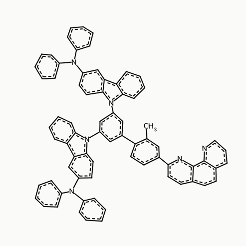 Cc1cc(-c2ccc3ccc4cccnc4c3n2)ccc1-c1cc(-n2c3ccccc3c3cc(N(c4ccccc4)c4ccccc4)ccc32)cc(-n2c3ccccc3c3cc(N(c4ccccc4)c4ccccc4)ccc32)c1